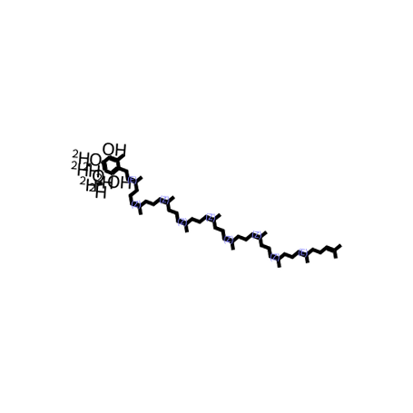 [2H]C([2H])([2H])Oc1c(O)c(C)c(C/C=C(\C)CC/C=C(/C)CC/C=C(/C)CC/C=C(/C)CC/C=C(/C)CC/C=C(/C)CC/C=C(/C)CC/C=C(/C)CC/C=C(\C)CCC=C(C)C)c(O)c1OC([2H])([2H])[2H]